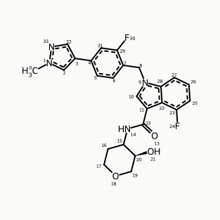 Cn1cc(-c2ccc(Cn3cc(C(=O)NC4CCOC[C@@H]4O)c4c(F)cccc43)c(F)c2)cn1